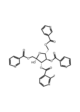 O=C(OC[C@H]1O[C@](O)(COC(=O)c2cccnc2)[C@@H](OC(=O)c2cccnc2F)[C@@H]1OC(=O)c1cccnc1)c1cccnc1